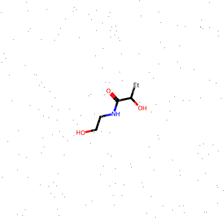 CCC(O)C(=O)NCCO